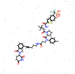 Cc1ccc(N(CCC(=O)NCCCC#Cc2cccc3c2CN(C2CCC(=O)NC2=O)C3=O)C(=O)[C@@H]2CCCN2C(=O)[C@@H](NC(=O)c2cc3cc(C(F)(F)P(=O)(O)O)ccc3s2)C(C)(C)C)cc1